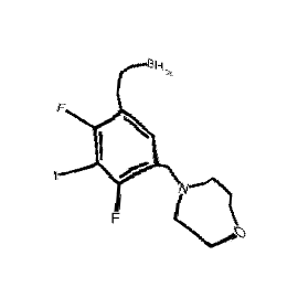 BCc1cc(N2CCOCC2)c(F)c(I)c1F